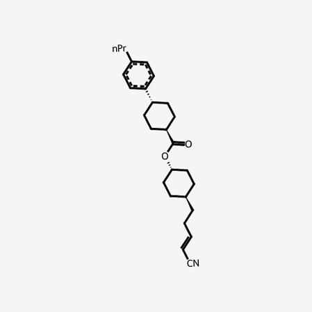 CCCc1ccc([C@H]2CC[C@H](C(=O)O[C@H]3CC[C@H](CCC=CC#N)CC3)CC2)cc1